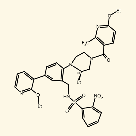 CCOc1ccc(C(=O)N2CCN(c3ccc(-c4cccnc4OCC)cc3CNS(=O)(=O)c3ccccc3[N+](=O)[O-])[C@H](CC)C2)c(C(F)(F)F)n1